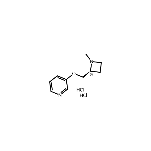 CN1CC[C@H]1COc1cccnc1.Cl.Cl